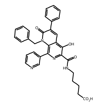 O=C(O)CCCCNC(=O)c1nc(-c2cccnc2)c2c(cc(-c3ccccc3)c(=O)n2Cc2ccccc2)c1O